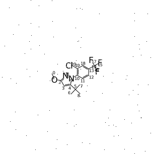 COc1cc(C(C)(C)C)n(-c2ccc(C(F)(F)F)cc2Cl)n1